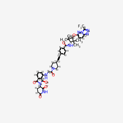 CC1(C)[C@H](NC(=O)c2ccc(C#CC3CCN(C(=O)CNc4cccc5c4C(=O)N(C4CCC(=O)NC4=O)C5=O)CC3)cc2)C(C)(C)[C@H]1Oc1ccc2nnc(C(F)(F)F)n2n1